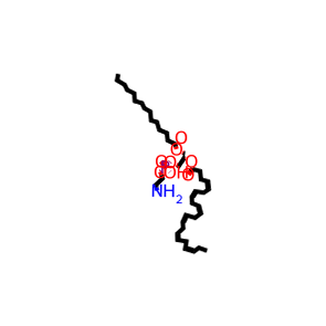 CC/C=C\C/C=C\C/C=C\C/C=C\C/C=C\C/C=C\CCC(=O)O[C@H](COC(=O)CCCCCCCCCCCCCC)COP(=O)(O)OCCN